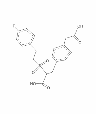 O=C(O)Cc1ccc(CC(C(=O)O)S(=O)(=O)CCc2ccc(F)cc2)cc1